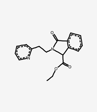 CCOC(=O)C1c2ccccc2C(=O)N1CCc1ccccn1